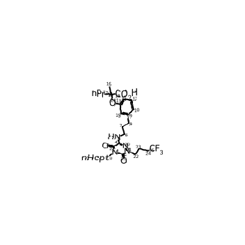 CCCCCCCn1c(=O)c(NCCCc2cccc(OC(C)(CCC)C(=O)O)c2)nn(CCCC(F)(F)F)c1=O